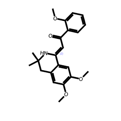 COc1cc2c(cc1OC)/C(=C/C(=O)c1ccccc1OC)NC(C)(C)C2